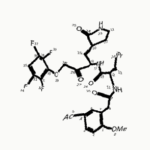 COc1ccc(C(C)=O)cc1CC(=O)NC(CC(C)C)C(=O)NC(CC1CCNC1=O)C(=O)COc1c(F)c(F)cc(F)c1F